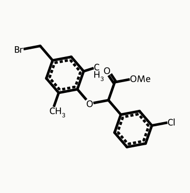 COC(=O)C(Oc1c(C)cc(CBr)cc1C)c1cccc(Cl)c1